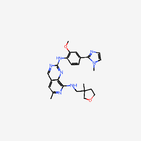 COc1cc(-c2nccn2C)ccc1Nc1ncc2cc(C)nc(NCC3(C)CCOC3)c2n1